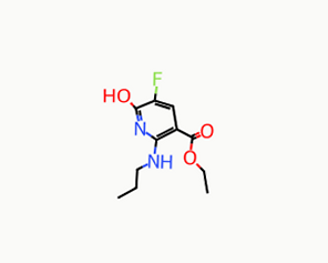 CCCNc1nc(O)c(F)cc1C(=O)OCC